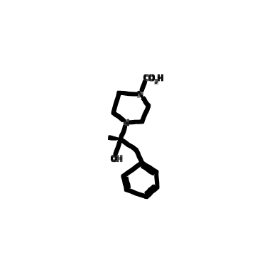 C[C@](O)(Cc1ccccc1)N1CCN(C(=O)O)CC1